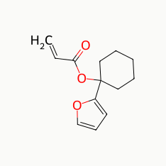 C=CC(=O)OC1(c2ccco2)CCCCC1